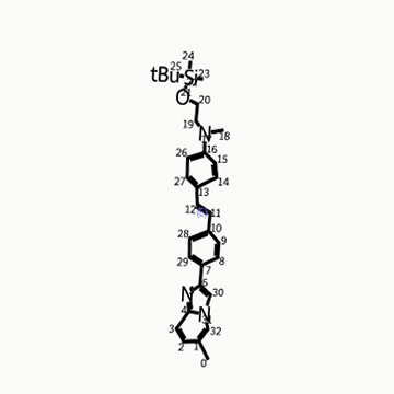 Cc1ccc2nc(-c3ccc(/C=C/c4ccc(N(C)CCO[Si](C)(C)C(C)(C)C)cc4)cc3)cn2c1